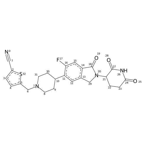 N#Cc1ccc(CN2CCC(c3cc4c(cc3F)C(=O)N(C3CCC(=O)NC3=O)C4)CC2)s1